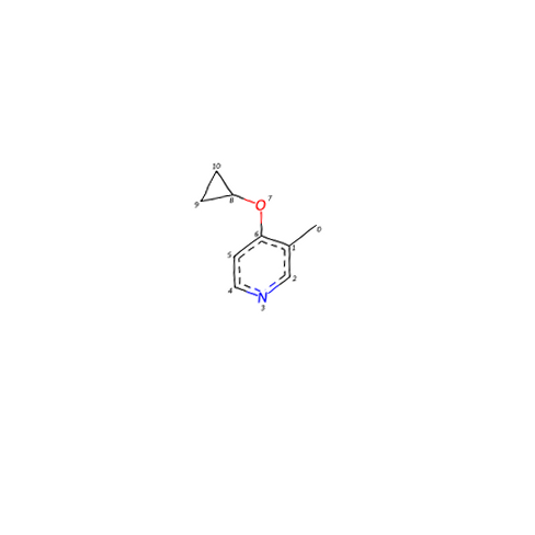 Cc1cnccc1OC1CC1